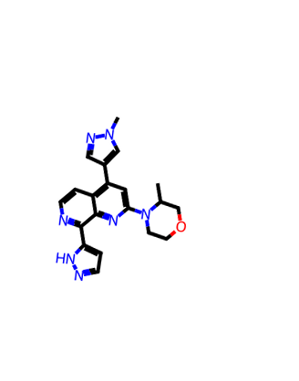 CC1COCCN1c1cc(-c2cnn(C)c2)c2ccnc(-c3ccn[nH]3)c2n1